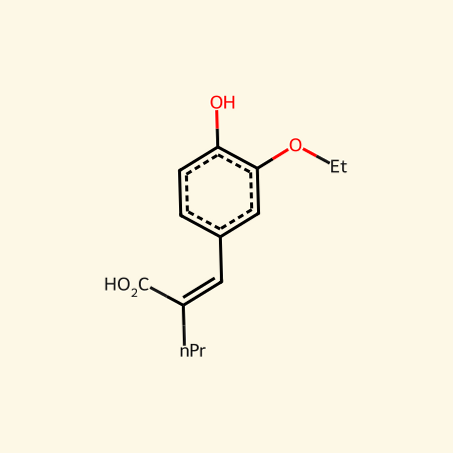 CCCC(=Cc1ccc(O)c(OCC)c1)C(=O)O